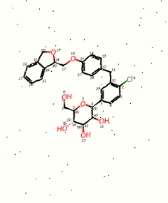 OC[C@H]1O[C@@H](c2ccc(Cl)c(Cc3ccc(OC[C@@H]4OCc5ccccc54)cc3)c2)C(O)[C@@H](O)[C@@H]1O